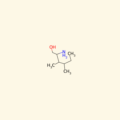 CCC(C)C(C)C(N)CO